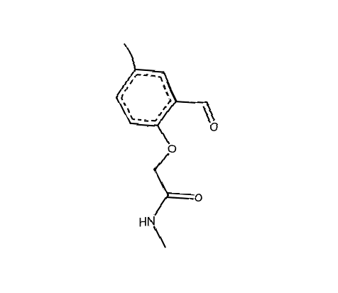 CNC(=O)COc1ccc(C)cc1C=O